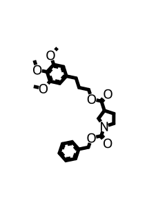 COc1cc(CCCOC(=O)C2CCN(C(=O)OCc3ccccc3)C2)cc(OC)c1OC